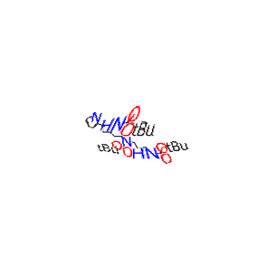 CC(C)(C)OC(=O)NCCCN(CCC(CCc1ccccn1)NC(=O)OC(C)(C)C)C(=O)OC(C)(C)C